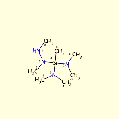 CNN(C)[Si](C)(N(C)C)N(C)C